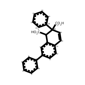 O=C(O)C1c2cc(-c3ccccc3)ccc2C=CC1(C(=O)O)c1ccccc1